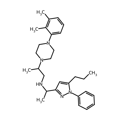 CCCc1cc(C(C)NCC(C)N2CCN(c3cccc(C)c3C)CC2)nn1-c1ccccc1